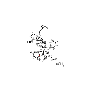 CC/C=C/[C@H]1CC[C@H](O)[C@@H]1CC=C=CC([16O]C1CCCCO1)([16O]C1CCCCO1)C(OCCCCCC)(Oc1ccccc1)C(=O)OC